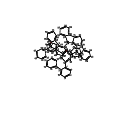 c1ccc(-c2nc(-c3ccccc3-c3ccccc3)nc(-n3c4ccccc4c4ccc5c6ccccc6n(-c6c(-c7ccccc7)ccc7c6c6ccccc6n7-c6ccccc6)c5c43)n2)cc1